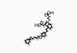 O=C(O)CCCn1cc(CC(=O)O)c2c(C=Cc3ccc(OCC=CCOc4ccccc4)cc3)cccc21